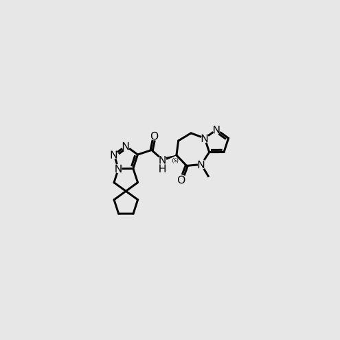 CN1C(=O)[C@@H](NC(=O)c2nnn3c2CC2(CCCC2)C3)CCn2nccc21